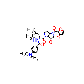 CC(C)CC(NC(=O)c1ccc(N(C)C)cc1)C(=O)N1CCC2C1C(=O)CN2C(=O)C1OC=CC1=O